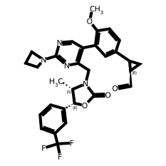 COc1ccc(C2C[C@H]2C=O)cc1-c1cnc(N2CCC2)nc1CN1C(=O)O[C@H](c2cccc(C(F)(F)F)c2)[C@@H]1C